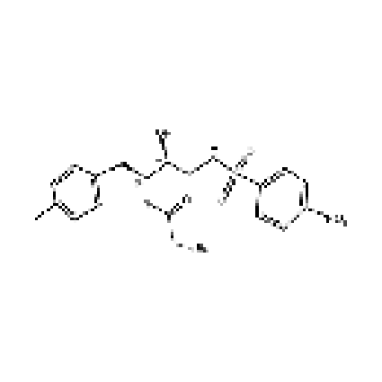 Cc1ccc(C[C@H](NC(=O)OC(C)(C)C)[C@@H](O)CNS(=O)(=O)c2ccc([N+](=O)[O-])cc2)cc1